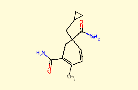 CC1=C(C(N)=O)CC(CC2CC2)(C(N)=O)C=C1